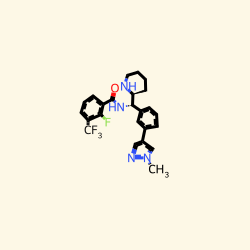 Cn1cc(-c2cccc([C@H](NC(=O)c3cccc(C(F)(F)F)c3F)[C@@H]3CCCCN3)c2)cn1